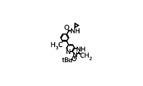 C=C1Nc2cc(-c3cc(C(=O)NC4CC4)ccc3C)cnc2N1OC(C)(C)C